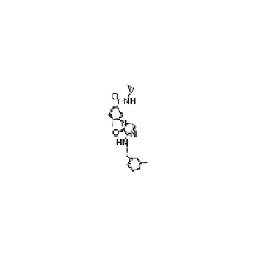 Cc1cccc(CCNc2nccn(-c3cc(C(=O)NC4CC4)ccc3C)c2=O)c1